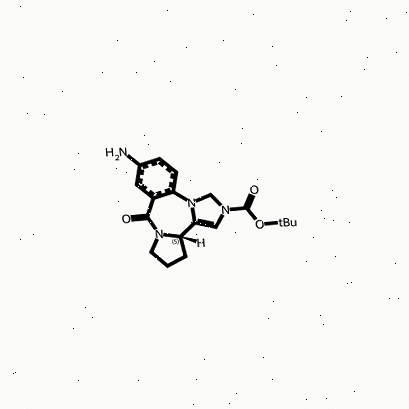 CC(C)(C)OC(=O)N1C=C2[C@@H]3CCCN3C(=O)c3cc(N)ccc3N2C1